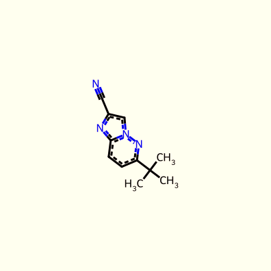 CC(C)(C)c1ccc2nc(C#N)cn2n1